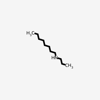 CCCCCCCCNCCC